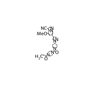 C=CC(=O)N1CCN(C(=O)N2CCC(n3cc(-c4cc(OC)c5c(C#N)cnn5c4)cn3)CC2)CC1